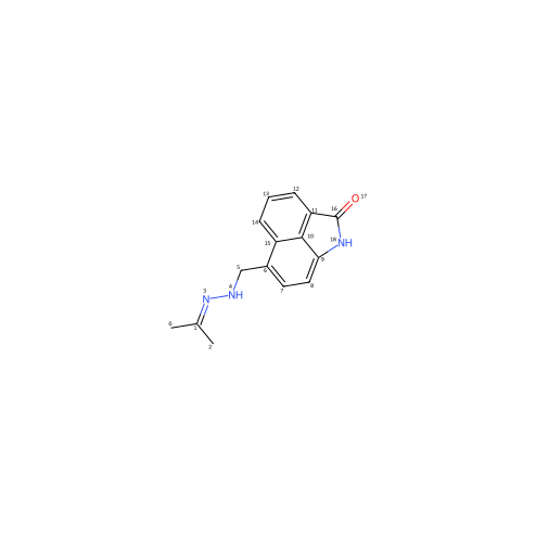 CC(C)=NNCc1ccc2c3c(cccc13)C(=O)N2